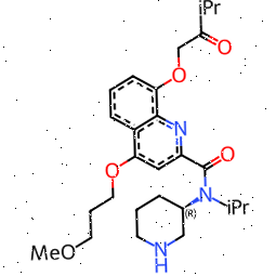 COCCCOc1cc(C(=O)N(C(C)C)[C@@H]2CCCNC2)nc2c(OCC(=O)C(C)C)cccc12